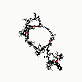 CCCN(C(C)=O)[C@]1(C)C/C=C\CCC[C@@]2(CCC/C=C\CCCOC(=O)N3CC[C@@H](C3)NC(=O)[C@H](CCCCNC(=O)CC[C@H](NC(=O)[C@H](Cc3csc4ccccc34)NC(=O)[C@H](Cc3ccsc3)NC=O)C(=O)N[C@@H](C)C(N)=O)NC(=O)[C@H](Cc3ccsc3)NC(=O)[C@H](C)NC(=O)C(C)(C)NC(=O)[C@H](Cc3cccc(C(=O)O)c3)NC(=O)[C@H](CC(=O)O)NC2=O)NC(O)[C@H](CC(C)(C)C)NC(=O)[C@H](CC(=O)O)NC1